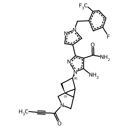 CC#CC(=O)N1CC2C3[C@H](n4nc(-c5cnn(Cc6cc(F)ccc6C(F)(F)F)c5)c(C(N)=O)c4N)C[C@]23C1